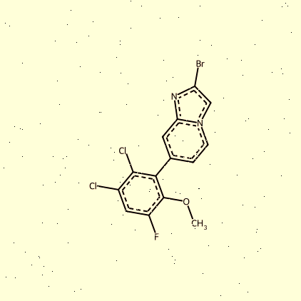 COc1c(F)cc(Cl)c(Cl)c1-c1ccn2cc(Br)nc2c1